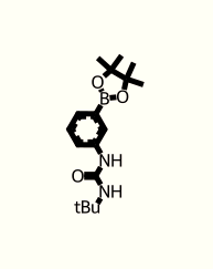 CC(C)(C)NC(=O)Nc1cccc(B2OC(C)(C)C(C)(C)O2)c1